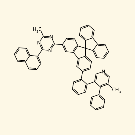 Cc1nc(-c2ccc3c(c2)-c2cc(-c4ccccc4-c4cncc(C)c4-c4ccccc4)ccc2C32c3ccccc3-c3ccccc32)nc(-c2cccc3ccccc23)n1